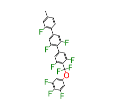 Cc1ccc(-c2cc(F)c(-c3cc(F)c(C(F)(F)Oc4cc(F)c(F)c(F)c4)c(F)c3)c(F)c2)c(F)c1